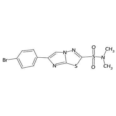 CN(C)S(=O)(=O)c1nn2cc(-c3ccc(Br)cc3)nc2s1